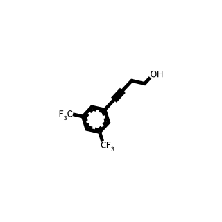 OCCC#Cc1cc(C(F)(F)F)cc(C(F)(F)F)c1